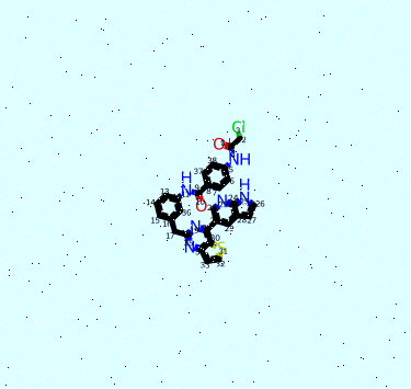 O=C(CCl)Nc1ccc(C(=O)Nc2cccc(Cc3nc(-c4cnc5[nH]ccc5c4)c4sccc4n3)c2)cc1